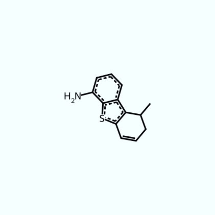 CC1CC=Cc2sc3c(N)cccc3c21